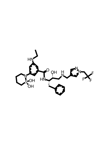 CCNc1cc(C(=O)N[C@@H](Cc2ccccc2)[C@H](O)CNCc2cnn(CC(F)(F)F)c2)cc(N2CCCCS2(O)O)c1